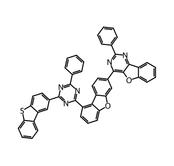 c1ccc(-c2nc(-c3ccc4sc5ccccc5c4c3)nc(-c3cccc4oc5cc(-c6nc(-c7ccccc7)nc7c6oc6ccccc67)ccc5c34)n2)cc1